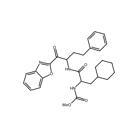 COC(=O)NC(CC1CCCCC1)C(=O)NC(CCc1ccccc1)C(=O)c1nc2ccccc2o1